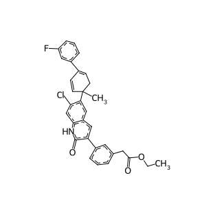 CCOC(=O)Cc1cccc(-c2cc3cc(C4(C)C=CC(c5cccc(F)c5)=CC4)c(Cl)cc3[nH]c2=O)c1